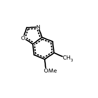 COc1cc2ocnc2cc1C